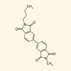 CCCCN1C(=O)c2ccc(-c3ccc4c(c3)C(=O)N(C)C4=O)cc2C1=O